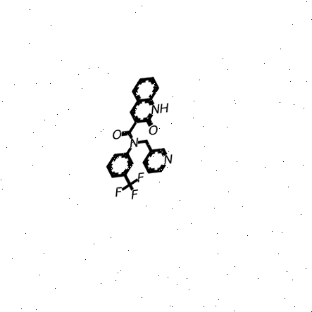 O=C(c1cc2ccccc2[nH]c1=O)N(Cc1cccnc1)c1cccc(C(F)(F)F)c1